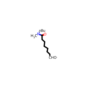 CCCCN(C)C(=O)CCCCCC[C]=O